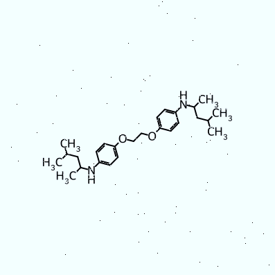 CC(C)CC(C)Nc1ccc(OCCOc2ccc(NC(C)CC(C)C)cc2)cc1